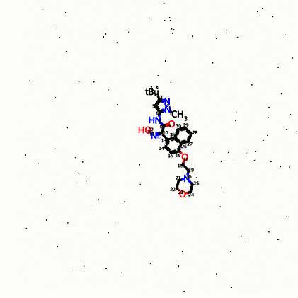 Cn1nc(C(C)(C)C)cc1NC(=O)/C(=N\O)c1ccc(OCCN2CCOCC2)c2ccccc12